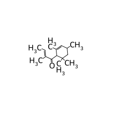 CC=C(C)C(=O)C1C(C)=CC(C)CC1(C)C